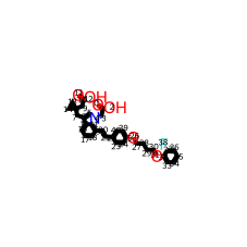 O=C(O)Cn1cc(CC2(CC(=O)O)CC2)c2cccc(C=Cc3ccc(OCCCCOc4ccccc4F)cc3)c21